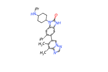 Cc1c(-c2cc3[nH]c(=O)n(C4CCC(NC(C)C)CC4)c3cc2C(C)C)cn2ncnc2c1C